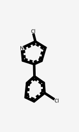 Clc1cccc(-c2c[c]c(Cl)nc2)c1